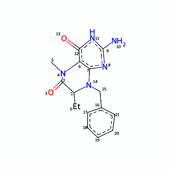 CCC1C(=O)N(C)c2c(nc(N)[nH]c2=O)N1Cc1ccccc1